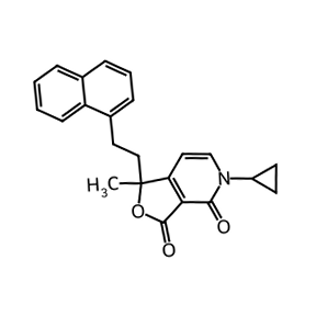 CC1(CCc2cccc3ccccc23)OC(=O)c2c1ccn(C1CC1)c2=O